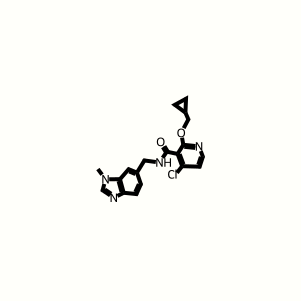 Cn1cnc2ccc(CNC(=O)c3c(Cl)ccnc3OCC3CC3)cc21